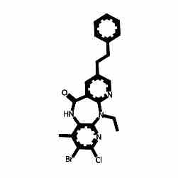 CCN1c2ncc(CCc3ccccc3)cc2C(=O)Nc2c1nc(Cl)c(Br)c2C